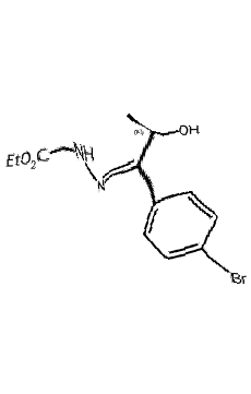 CCOC(=O)NN=C(c1ccc(Br)cc1)[C@@H](C)O